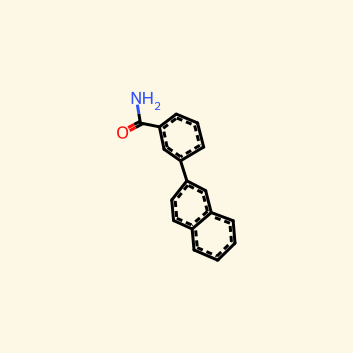 NC(=O)c1cccc(-c2ccc3ccccc3c2)c1